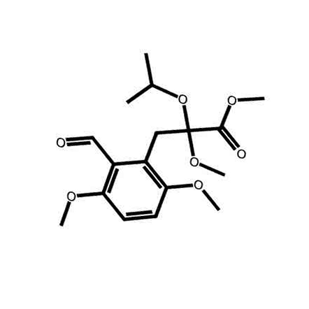 COC(=O)C(Cc1c(OC)ccc(OC)c1C=O)(OC)OC(C)C